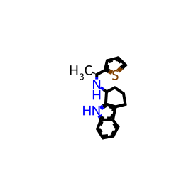 C[C@@H](NC1CCCc2c1[nH]c1ccccc21)c1cccs1